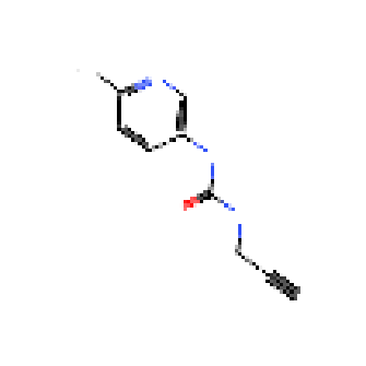 C#CCNC(=O)Nc1ccc(OC)nc1